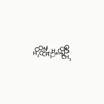 CN1/C(=C/C=C2C=C(/C=C/C3N(I)c4ccc5ccccc5c4C3(C)C)CCC/2)C(C)(C)c2c1ccc1ccccc21